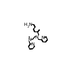 C=C(/C=C\C=C/N)CN(CCN(C)Cc1ccccn1)Cc1ccccn1